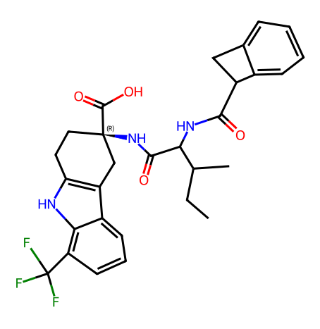 CCC(C)C(NC(=O)C1Cc2ccccc21)C(=O)N[C@]1(C(=O)O)CCc2[nH]c3c(C(F)(F)F)cccc3c2C1